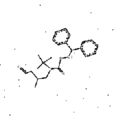 CC(CC=O)CN(C(=O)ONC(c1ccccc1)c1ccccc1)C(C)(C)C